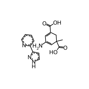 CC1(C(=O)O)C=C(N)C=C(C(=O)O)C1.c1ccc(-c2cc[nH]n2)nc1